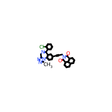 Cc1nnc2n1-c1ccc(C#CCN3C(=O)c4cccc5cccc(c45)C3=O)cc1C(c1ccccc1Cl)=NC2